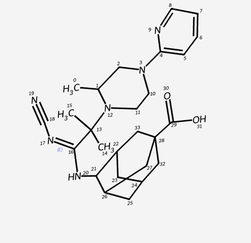 CC1CN(c2ccccn2)CCN1C(C)(C)/C(=N\C#N)NC1C2CC3CC1CC(C(=O)O)(C3)C2